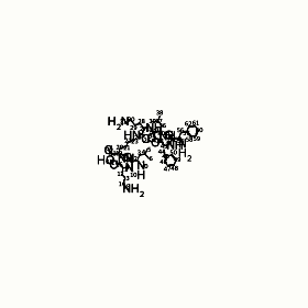 CN[C@H](CC(C)C)C(=O)N(C)[C@H](CCCN)C(=O)N[C@H](CCCCNC(=O)[C@@H](CCCN)NC(=O)[C@@H](CC(C)C)NC(=O)[C@@H](Cc1ccccc1)NC(=O)[C@H](N)Cc1ccccc1)C(=O)O